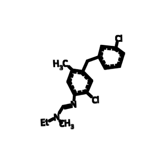 CCN(C)C=Nc1cc(C)c(Cc2cccc(Cl)c2)cc1Cl